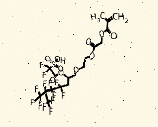 C=C(C)C(=O)OCC(=O)OCCOCC(CC(F)(F)C(F)(F)C(F)(C(F)(F)F)C(F)(F)F)OC(=O)C(F)(F)S(=O)(=O)O